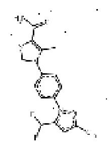 CC1=C(C(N)=O)SCN1c1ccc(-n2nc(C(F)(F)F)cc2C(F)F)cc1